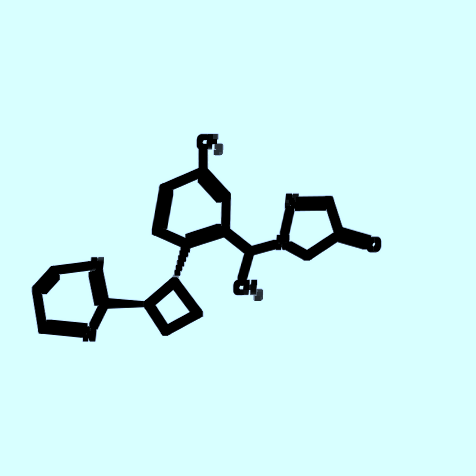 CC(c1cc(C(F)(F)F)ccc1[C@@H]1CC[C@H]1c1ncccn1)N1CC(=O)C=N1